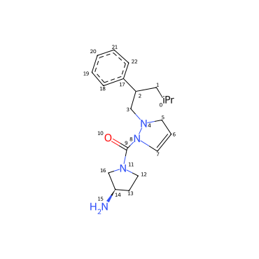 CC(C)CC(CN1CC=CN1C(=O)N1CC[C@@H](N)C1)c1ccccc1